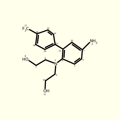 Nc1ccc(N(CCO)CCO)c(-c2ccc(C(F)(F)F)cc2)c1